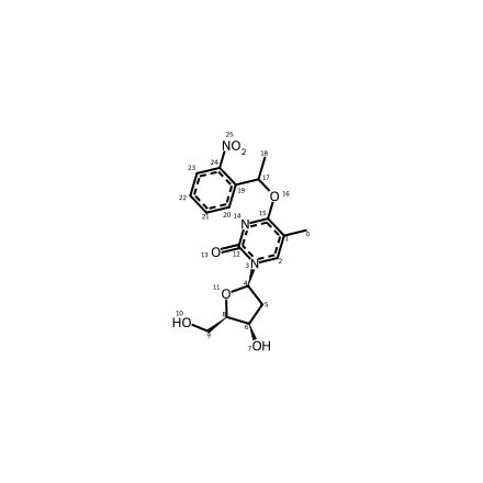 Cc1cn([C@H]2C[C@@H](O)[C@@H](CO)O2)c(=O)nc1OC(C)c1ccccc1[N+](=O)[O-]